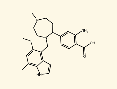 COc1cc(C)c2[nH]ccc2c1CN1CCN(C)CCC1c1ccc(C(=O)O)c(N)c1